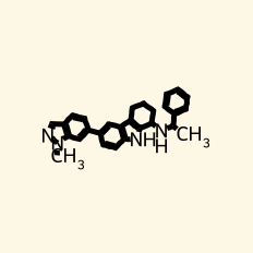 CC(NC1CCCc2c1[nH]c1ccc(-c3ccc4cnn(C)c4c3)cc21)c1ccccc1